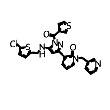 O=C(c1ccsc1)n1nc(-c2cccn(Cc3cccnc3)c2=O)cc1NCc1ccc(Cl)s1